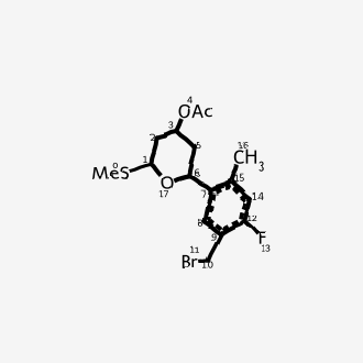 CSC1CC(OC(C)=O)CC(c2cc(CBr)c(F)cc2C)O1